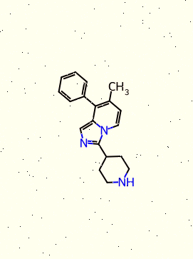 Cc1ccn2c(C3CCNCC3)ncc2c1-c1ccccc1